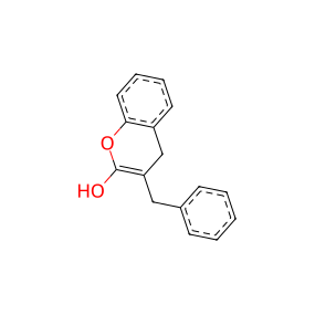 OC1=C(Cc2ccccc2)Cc2ccccc2O1